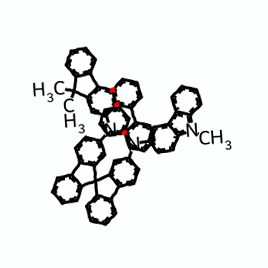 Cn1c2ccccc2c2cc(N(c3ccccc3)c3ccc4c(c3)C3(c5ccccc5-4)c4ccccc4-c4ccc(N(c5ccc6c(c5)C(C)(C)c5ccccc5-6)c5ccccc5-c5ccccc5)cc43)ccc21